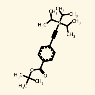 CC(C)[Si](C#Cc1ccc(C(=O)OC(C)(C)C)cc1)(C(C)C)C(C)C